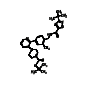 Cc1cc(-c2ncncc2N2CCN(C(=O)OC(C)(C)C)CC2)ccc1CNC(=O)c1nc(C(C)(C)C)no1